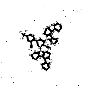 N#Cc1cc(C(F)(F)F)ccc1-c1cc(-n2c3ccccc3c3c4c(ccc32)oc2ccccc24)c(C#N)c(-n2c3ccccc3c3c4c(ccc32)oc2ccccc24)c1